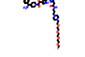 COc1cnc(-n2cnc(CC(=O)NCCCN3CCN(CCOCCOCCOCCOCI)CC3)n2)c2[nH]cc(C(=O)C(=O)N3CCC(=C(N)c4ccccc4)CC3)c12